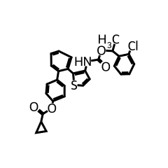 CC(OC(=O)Nc1ccsc1-c1ccccc1-c1ccc(OC(=O)C2CC2)cc1)c1ccccc1Cl